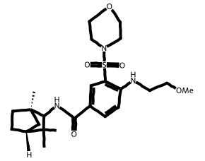 COCCNc1ccc(C(=O)NC2C(C)(C)[C@@H]3CC[C@]2(C)C3)cc1S(=O)(=O)N1CCOCC1